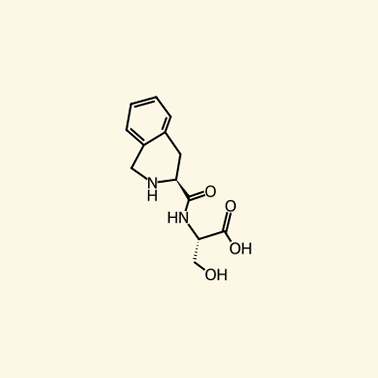 O=C(O)[C@H](CO)NC(=O)[C@@H]1Cc2ccccc2CN1